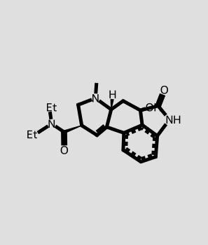 CCN(CC)C(=O)[C@@H]1C=C2c3cccc4c3C(O)(C[C@H]2N(C)C1)C(=O)N4